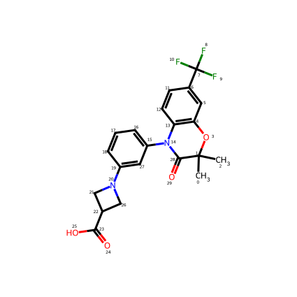 CC1(C)Oc2cc(C(F)(F)F)ccc2N(c2cccc(N3CC(C(=O)O)C3)c2)C1=O